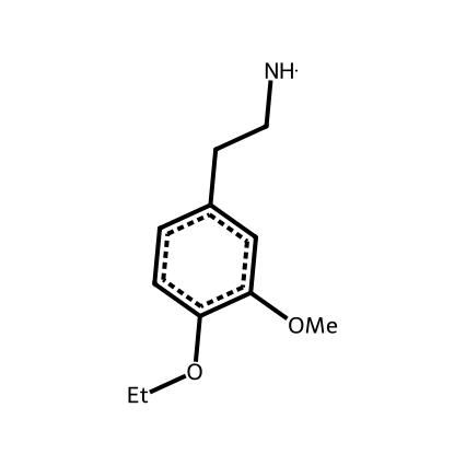 CCOc1ccc(CC[NH])cc1OC